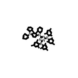 Cc1cc(C)c(B(c2nc(B(c3c(C)cc(C)cc3C)c3c(C)cc(C)cc3C)nc(-n3c4ccccc4c4c5c6ccccc6n(-c6ccccc6)c5ccc43)n2)c2c(C)cc(C)cc2C)c(C)c1